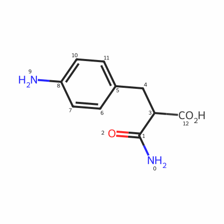 NC(=O)C(Cc1ccc(N)cc1)C(=O)O